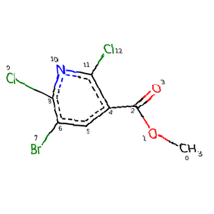 COC(=O)c1cc(Br)c(Cl)nc1Cl